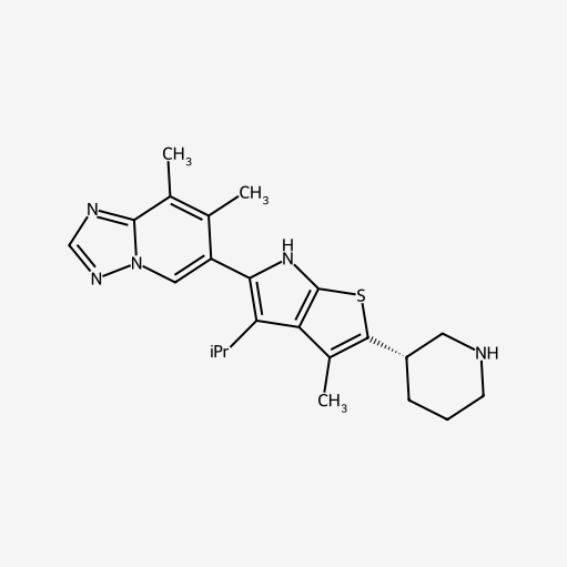 Cc1c(-c2[nH]c3sc([C@H]4CCCNC4)c(C)c3c2C(C)C)cn2ncnc2c1C